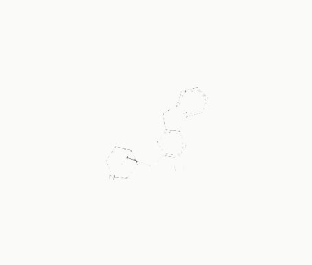 Cl.c1ccc2c(c1)Cc1cc(OC3CN4CCC3CC4)ccc1-2